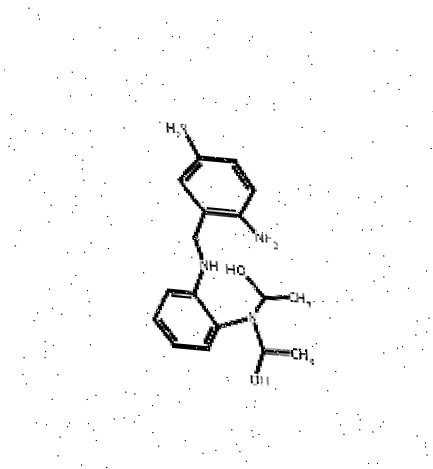 CC(O)N(c1ccccc1NCc1cc(N)ccc1N)C(C)O